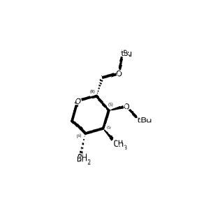 B[C@@H]1CO[C@H](COC(C)(C)C)[C@@H](OC(C)(C)C)[C@H]1C